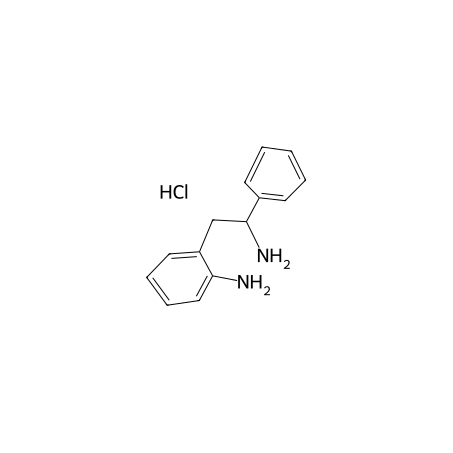 Cl.Nc1ccccc1CC(N)c1ccccc1